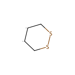 [CH]1[CH]CSSC1